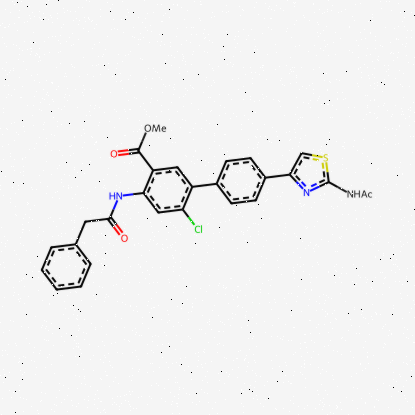 COC(=O)c1cc(-c2ccc(-c3csc(NC(C)=O)n3)cc2)c(Cl)cc1NC(=O)Cc1ccccc1